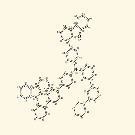 C1=CCCC(c2cccc(-c3cccc(N(c4ccc(-c5ccc(-c6ccccc6-n6c7ccccc7c7ccccc76)cc5)cc4)c4ccc(-c5cccc6c5oc5ccccc56)cc4)c3)c2)=C1